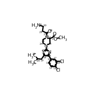 COC(=O)C1CN(c2nc(-c3ccc(Cl)c(Cl)c3)c(CC(C)C)s2)CCN1C(=O)CCN